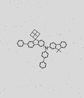 CC1(C)c2ccccc2-c2ccc(N(c3ccc(-c4ccccc4)cc3)c3ccc4c(c3)-c3ccc(-c5ccccc5)cc3C43C4CC5CC6CC3C564)cc21